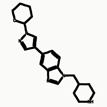 c1cc2c(cc1-c1cnn(C3CCCCO3)c1)ncn2CC1CCNCC1